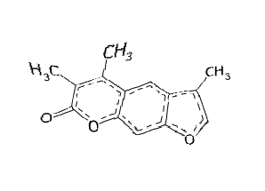 Cc1c(C)c2cc3c(C)coc3cc2oc1=O